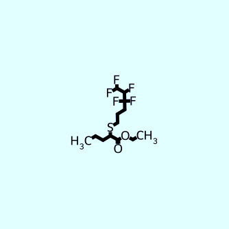 CCCC(SCCCC(F)(F)C(F)C(F)F)C(=O)OCC